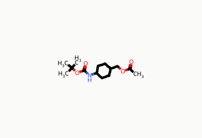 CC(=O)OCC1CCC(NC(=O)OC(C)(C)C)CC1